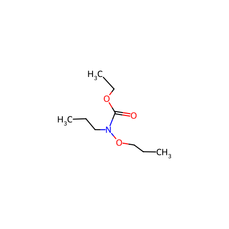 CCCON(CCC)C(=O)OCC